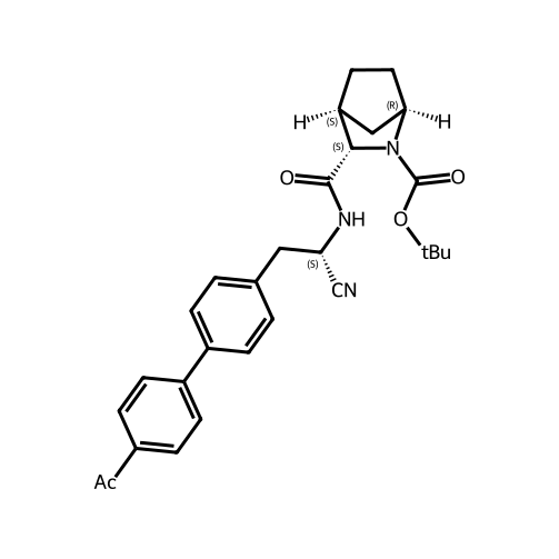 CC(=O)c1ccc(-c2ccc(C[C@@H](C#N)NC(=O)[C@@H]3[C@H]4CC[C@H](C4)N3C(=O)OC(C)(C)C)cc2)cc1